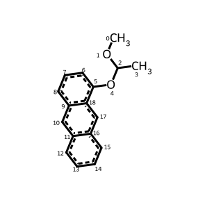 COC(C)Oc1cccc2cc3ccccc3cc12